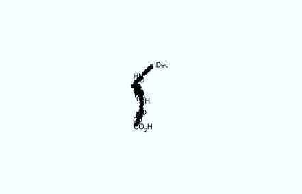 CCCCCCCCCCCCCCCCCCNC(=O)CC[C@@H](C)[C@H]1CCC2C3CC[C@@H]4C[C@H](OC(=O)NCCCCCC(=O)N5C[C@H](OC(=O)CCC(=O)O)C[C@H]5C)CC[C@]4(C)C3CC[C@@]21C